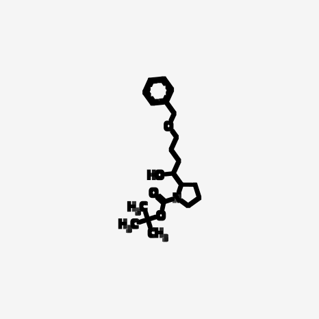 CC(C)(C)OC(=O)N1CCCC1C(O)CCCOCc1ccccc1